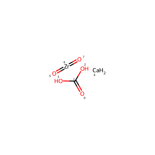 O=C(O)O.[CaH2].[O]=[Zr]=[O]